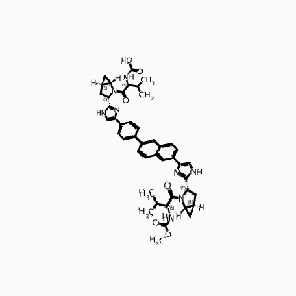 COC(=O)N[C@H](C(=O)N1[C@H](c2nc(-c3ccc4cc(-c5ccc(-c6c[nH]c([C@@H]7C[C@@H]8C[C@@H]8N7C(=O)[C@@H](NC(=O)O)C(C)C)n6)cc5)ccc4c3)c[nH]2)C[C@H]2C[C@@H]21)C(C)C